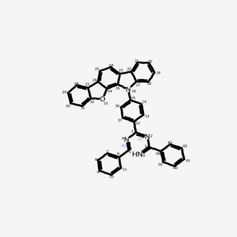 N=C(/N=C(\N=C\c1ccccc1)c1ccc(-n2c3ccccc3c3ccc4c5ccccc5oc4c32)cc1)c1ccccc1